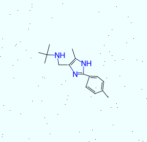 Cc1ccc(-c2nc(CNC(C)(C)C)c(C)[nH]2)cc1